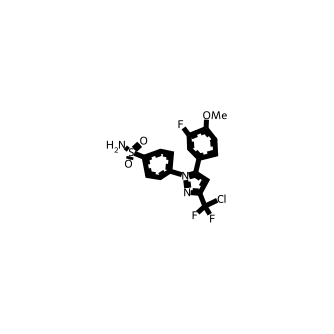 COc1ccc(-c2cc(C(F)(F)Cl)nn2-c2ccc(S(N)(=O)=O)cc2)cc1F